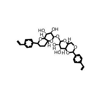 C=Cc1ccc(C2CC[C@H]3O[C@H](O[C@H]4O[C@@H]5COC(c6ccc(C=C)cc6)O[C@H]5[C@H](O)[C@H]4O)[C@H](O)[C@@H](O)[C@@H]3O2)cc1